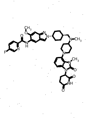 COc1cc2nn([C@H]3CC[C@H](CN(C)C4CCN(c5cccc6c5n(C)c(=O)n6C5CCC(=O)NC5=O)CC4)CC3)cc2cc1NC(=O)c1ccc(F)cn1